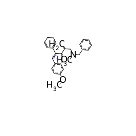 C=C(CN(C)Cc1ccccc1)C(=O)/C(=C\c1ccc(OC)cc1)C1=CCCC=C1